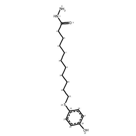 NNC(=O)CCCCCCCCCCSc1ccc(O)cc1